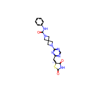 O=C1NC(=O)/C(=C\c2ncnc(N3CC4(CN(C(=O)Nc5ccccc5)C4)C3)n2)S1